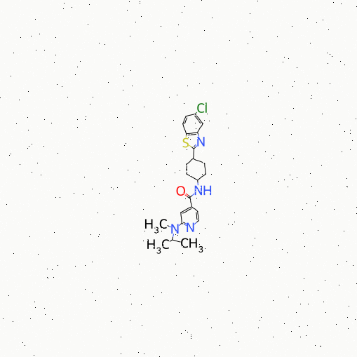 CC(C)N(C)c1cc(C(=O)NC2CCC(c3nc4cc(Cl)ccc4s3)CC2)ccn1